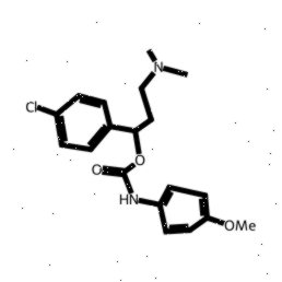 COc1ccc(NC(=O)OC(CCN(C)C)c2ccc(Cl)cc2)cc1